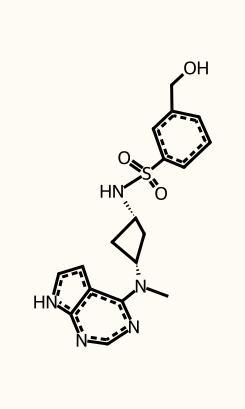 CN(c1ncnc2[nH]ccc12)[C@H]1C[C@@H](NS(=O)(=O)c2cccc(CO)c2)C1